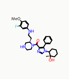 COc1ccc(NCC[C@@H]2CNCCN2C(=O)c2ncn(C3CCCC[C@]3(C)O)c2-c2ccccc2)cc1F